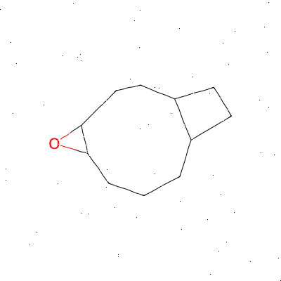 C1CC2CCC2CCC2OC2C1